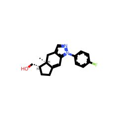 C[C@]12Cc3cnn(-c4ccc(F)cc4)c3C=C1CC[C@@H]2CO